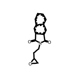 O=C1c2cc3ccccc3cc2C(=O)N1CCC1CO1